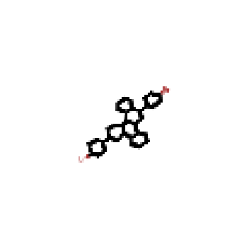 Brc1ccc(-c2ccc3c(c2)c2ccccc2c2cc(-c4ccc(Br)cc4)c4ccccc4c32)cc1